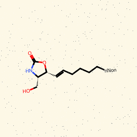 CCCCCCCCCCCCCC=C[C@H]1OC(=O)N[C@H]1CO